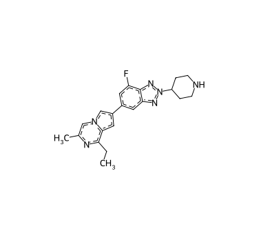 CCc1nc(C)cn2cc(-c3cc(F)c4nn(C5CCNCC5)nc4c3)cc12